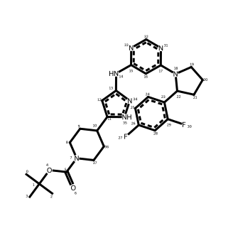 CC(C)(C)OC(=O)N1CCC(c2cc(Nc3cc(N4CCCC4c4ccc(F)cc4F)ncn3)n[nH]2)CC1